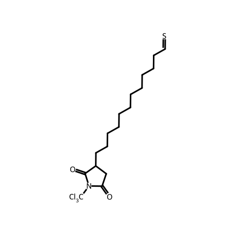 O=C1CC(CCCCCCCCCCCC=S)C(=O)N1C(Cl)(Cl)Cl